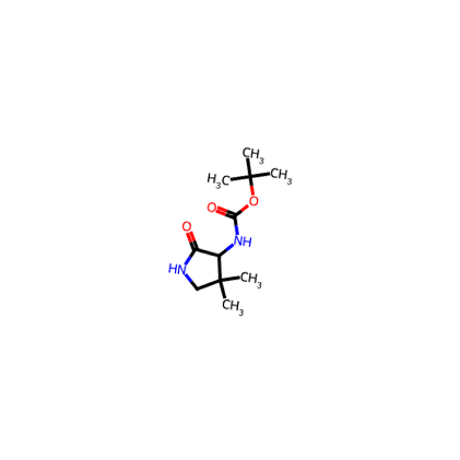 CC(C)(C)OC(=O)NC1C(=O)NCC1(C)C